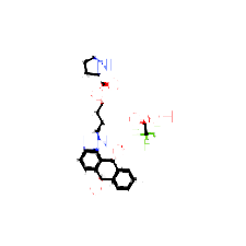 O=C(O)C(F)(F)F.O=C1c2ccccc2C(=O)c2c(NCCCCOC(=O)[C@H]3CCCN3)cccc21